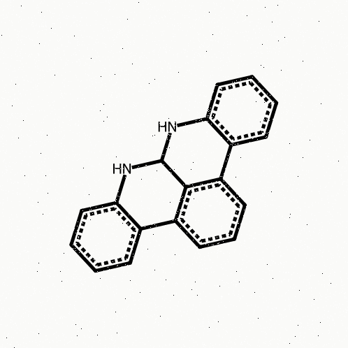 c1ccc2c(c1)NC1Nc3ccccc3-c3cccc-2c31